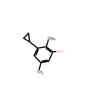 Bc1cc(C)cc(C2CC2)c1OC